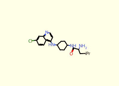 CC(C)C[C@H](N)C(=O)NC1CCC(Nc2ccnc3cc(Cl)ccc23)CC1